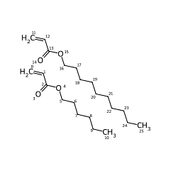 C=CC(=O)OCCCCCC.C=CC(=O)OCCCCCCCCCC